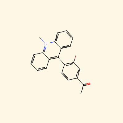 CC(=O)c1ccc(-c2c3ccccc3[n+](C)c3ccccc23)c(Br)c1